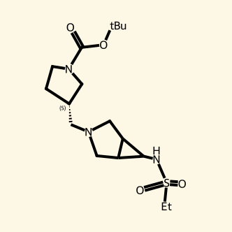 CCS(=O)(=O)NC1C2CN(C[C@@H]3CCN(C(=O)OC(C)(C)C)C3)CC21